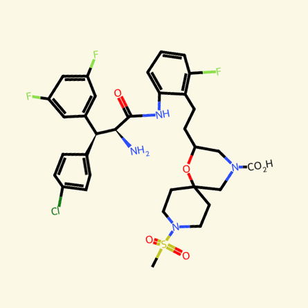 CS(=O)(=O)N1CCC2(CC1)CN(C(=O)O)CC(CCc1c(F)cccc1NC(=O)[C@@H](N)[C@@H](c1ccc(Cl)cc1)c1cc(F)cc(F)c1)O2